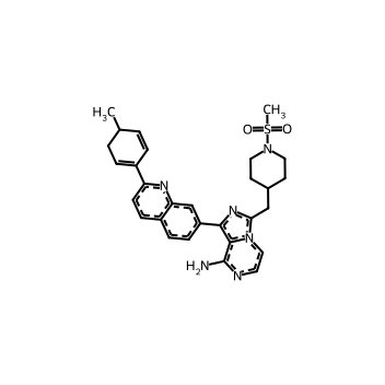 CC1C=CC(c2ccc3ccc(-c4nc(CC5CCN(S(C)(=O)=O)CC5)n5ccnc(N)c45)cc3n2)=CC1